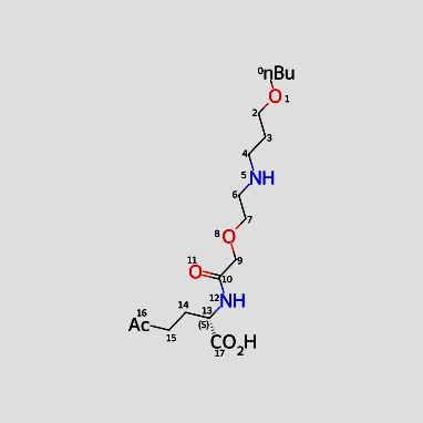 CCCCOCCCNCCOCC(=O)N[C@@H](CCC(C)=O)C(=O)O